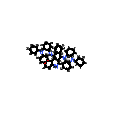 c1ccc(N2c3ccccc3N(c3c4ccccc4c(N4c5ccccc5N(c5ccccc5)c5ccccc54)c4c3cnc3ccccc34)c3ccccc32)cc1